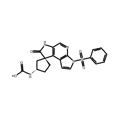 O=C(O)N[C@H]1CC[C@@]2(C1)C(=O)Nc1cnc3c(ccn3S(=O)(=O)c3ccccc3)c12